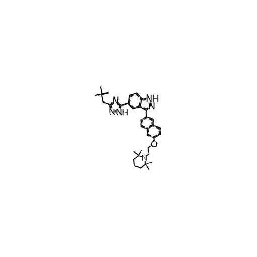 CC(C)(C)Cc1n[nH]c(-c2ccc3[nH]nc(-c4ccc5cc(OCCN6C(C)(C)CCCC6(C)C)ccc5c4)c3c2)n1